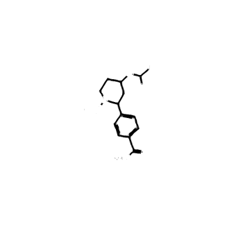 COC(=O)c1ccc(C2CC(OC(F)F)CCN2C(=O)O)cc1